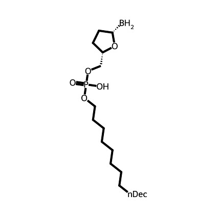 B[C@H]1CC[C@@H](COP(=O)(O)OCCCCCCCCCCCCCCCCCC)O1